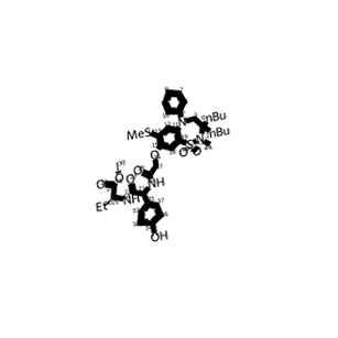 CCCCC1(CCCC)CN(c2ccccc2)c2cc(SC)c(OCC(=O)NC(C(=O)N[C@H](CC)C(=O)OI)c3ccc(O)cc3)cc2S(=O)(=O)N1C